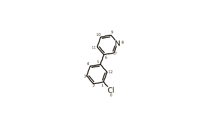 Clc1cccc(-c2[c]nccc2)c1